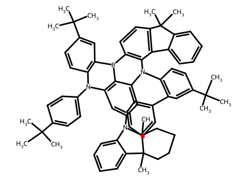 CC(C)(C)c1ccc(N2c3ccc(C(C)(C)C)cc3B3c4ccc5c(c4N(c4ccc(C(C)(C)C)cc4-c4ccccc4)c4cc(N6c7ccccc7C7(C)CCCCC67C)cc2c43)-c2ccccc2C5(C)C)cc1